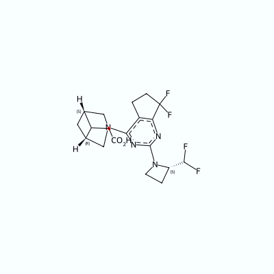 O=C(O)CC1[C@@H]2C[C@H]1CN(c1nc(N3CC[C@H]3C(F)F)nc3c1CCC3(F)F)C2